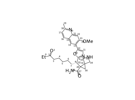 CCC(=O)CCCCC[C@H](c1ncc(-c2cc3ccc(C)nc3cc2OC)o1)C1(C(N)=O)CC12CNC2